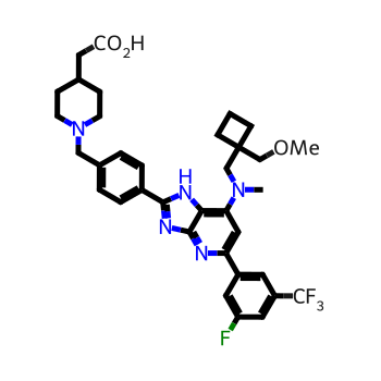 COCC1(CN(C)c2cc(-c3cc(F)cc(C(F)(F)F)c3)nc3nc(-c4ccc(CN5CCC(CC(=O)O)CC5)cc4)[nH]c23)CCC1